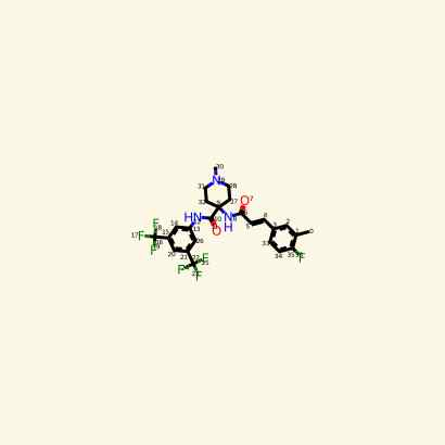 Cc1cc(C=CC(=O)NC2(C(=O)Nc3cc(C(F)(F)F)cc(C(F)(F)F)c3)CCN(C)CC2)ccc1F